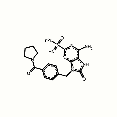 CCCS(=N)(=O)c1nc(N)c2[nH]c(=O)n(Cc3ccc(C(=O)N4CCCC4)cc3)c2n1